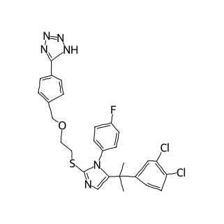 CC(C)(c1ccc(Cl)c(Cl)c1)c1cnc(SCCOCc2ccc(-c3nnn[nH]3)cc2)n1-c1ccc(F)cc1